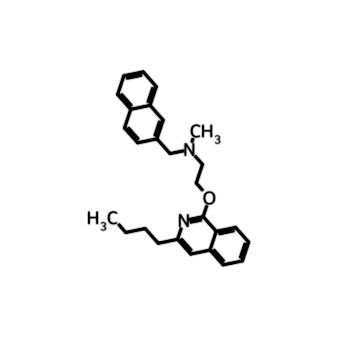 CCCCc1cc2ccccc2c(OCCN(C)Cc2ccc3ccccc3c2)n1